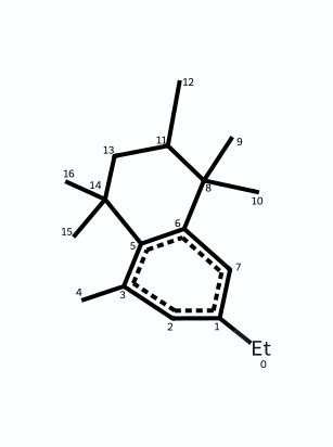 CCc1cc(C)c2c(c1)C(C)(C)C(C)CC2(C)C